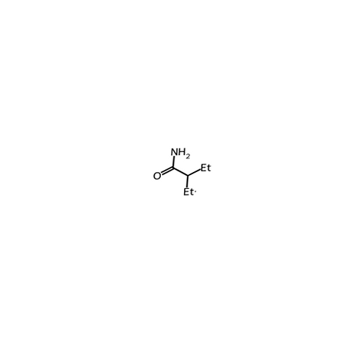 C[CH]C(CC)C(N)=O